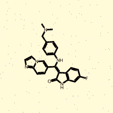 CN(C)Cc1ccc(NC(=C2C(=O)Nc3cc(F)ccc32)c2ccc3nccn3c2)cc1